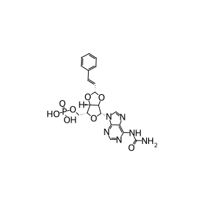 NC(=O)Nc1ncnc2c1ncn2[C@@H]1O[C@H](COP(=O)(O)O)[C@@H]2O[C@H](/C=C/c3ccccc3)OC21